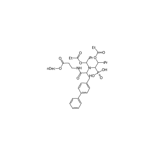 CCCCCCCCCCOC(=O)CCNC(=O)C(Cc1ccc(-c2ccccc2)cc1)N(C(OC(=O)CC)C(C)C)C(C(OC(=O)CC)C(C)C)P(=O)(O)O